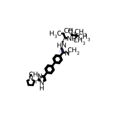 C=N/C(=C\NC[C@@H](NC(=O)C(C)(C)C)C(C)C)c1ccc(-c2ccc(-c3c[nH]c([C@@H]4CCCN4C)n3)cc2)cc1